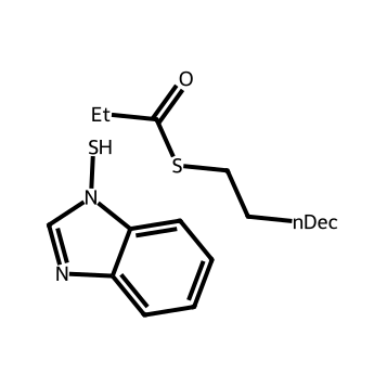 CCCCCCCCCCCCSC(=O)CC.Sn1cnc2ccccc21